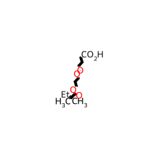 CCC(C)(C)C(=O)OCCCOOCCCC(=O)O